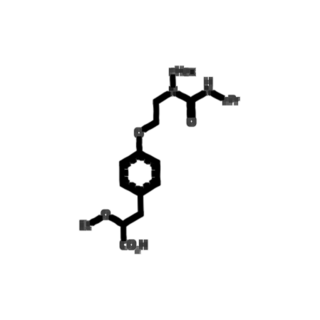 CCCCCCN(CCOc1ccc(CC(OCC)C(=O)O)cc1)C(=O)NCCC